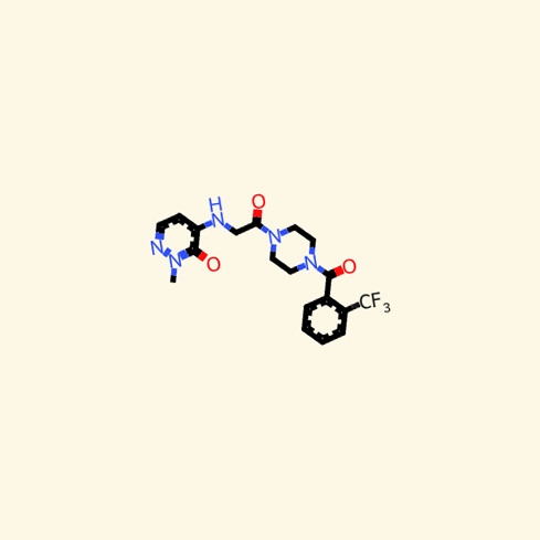 Cn1nccc(NCC(=O)N2CCN(C(=O)c3ccccc3C(F)(F)F)CC2)c1=O